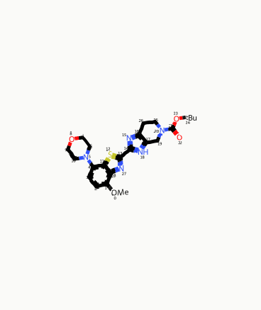 COc1ccc(N2CCOCC2)c2sc(-c3nc4c([nH]3)CN(C(=O)OC(C)(C)C)CC4)nc12